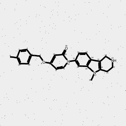 Cc1ccc(COc2ccn(-c3ccc4c5c(n(C)c4c3)CCNC5)c(=O)c2)cc1